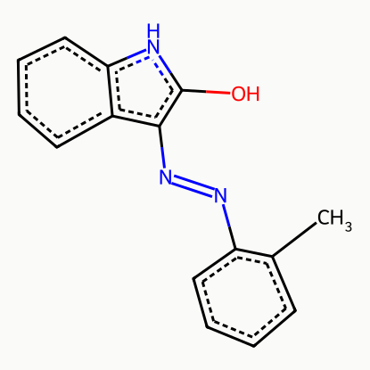 Cc1ccccc1N=Nc1c(O)[nH]c2ccccc12